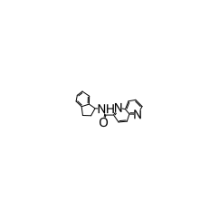 O=C(NC1CCc2ccccc21)c1ccc2ncccc2n1